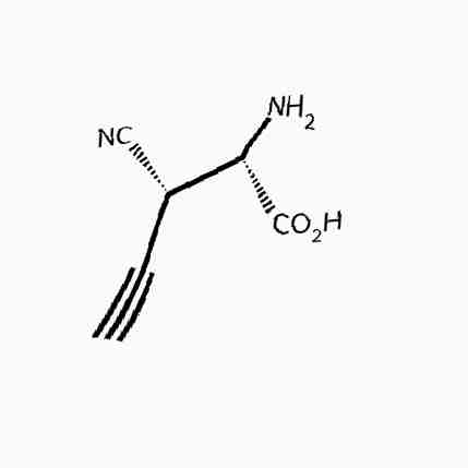 C#C[C@H](C#N)[C@H](N)C(=O)O